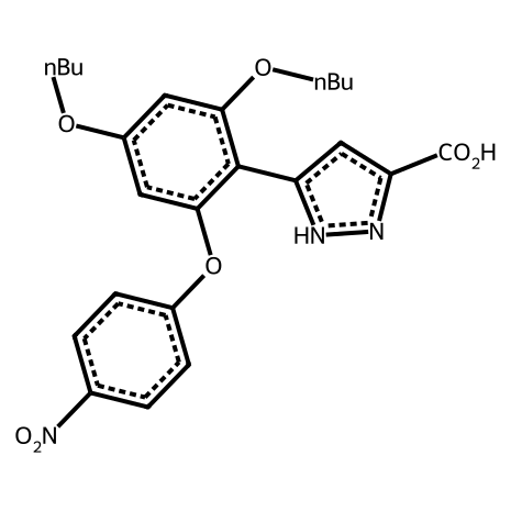 CCCCOc1cc(OCCCC)c(-c2cc(C(=O)O)n[nH]2)c(Oc2ccc([N+](=O)[O-])cc2)c1